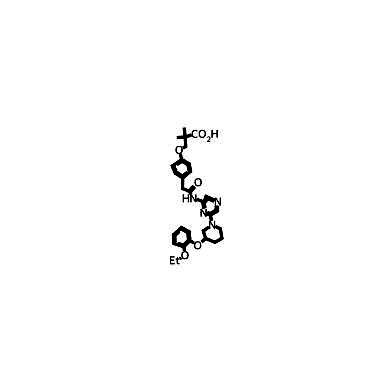 CCOc1ccccc1OC1CCCN(c2cncc(NC(=O)Cc3ccc(OCC(C)(C)C(=O)O)cc3)n2)C1